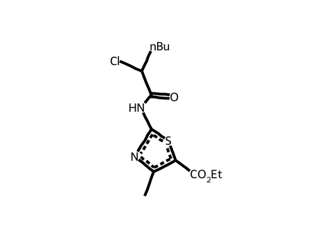 CCCCC(Cl)C(=O)Nc1nc(C)c(C(=O)OCC)s1